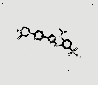 CC(C)Oc1ccc(S(N)(=O)=O)cc1Nc1nc(-c2ccc(N3CCNC(=O)C3)nc2)cs1